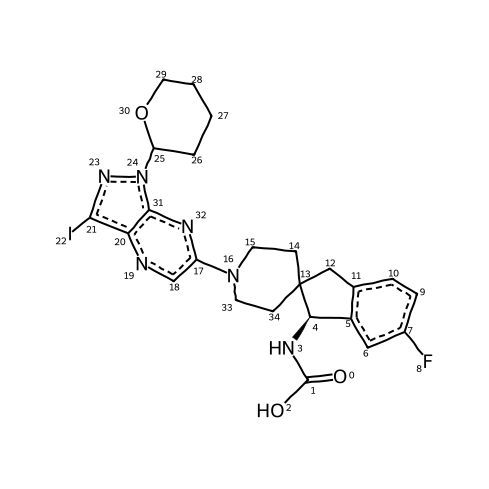 O=C(O)N[C@@H]1c2cc(F)ccc2CC12CCN(c1cnc3c(I)nn(C4CCCCO4)c3n1)CC2